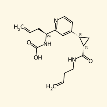 C=CCCNC(=O)[C@H]1C[C@H]1c1ccnc([C@H](CC=C)NC(=O)O)c1